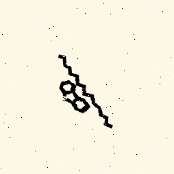 CCCCCCCCCCCCCCCC.c1ccc2c(c1)sc1ccccc12